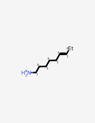 CCC=CCCCCCN